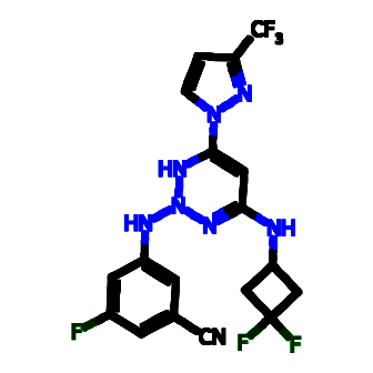 N#Cc1cc(F)cc(NN2N=C(NC3CC(F)(F)C3)C=C(n3ccc(C(F)(F)F)n3)N2)c1